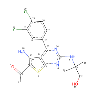 CC(=O)c1sc2nc(NC(C)(C)CO)nc(-c3ccc(Cl)c(Cl)c3)c2c1N